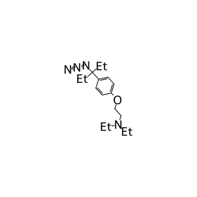 CCN(CC)CCOc1ccc(C(CC)(CC)N=[N+]=[N-])cc1